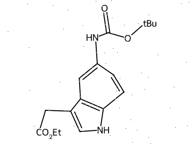 CCOC(=O)Cc1c[nH]c2ccc(NC(=O)OC(C)(C)C)cc12